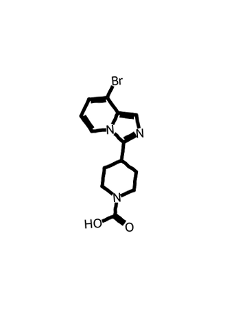 O=C(O)N1CCC(c2ncc3c(Br)cccn23)CC1